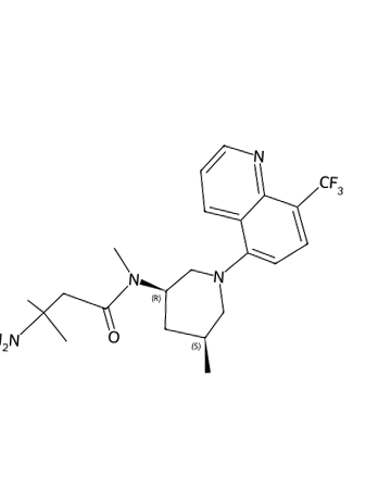 C[C@H]1C[C@@H](N(C)C(=O)CC(C)(C)N)CN(c2ccc(C(F)(F)F)c3ncccc23)C1